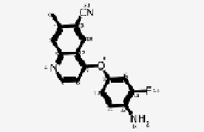 Cc1cc2nccc(Oc3ccc(N)c(F)c3)c2cc1C#N